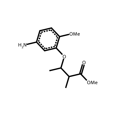 COC(=O)C(C)C(C)Oc1cc(N)ccc1OC